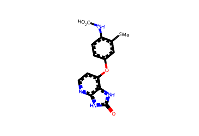 CSc1cc(Oc2ccnc3[nH]c(=O)[nH]c23)ccc1NC(=O)O